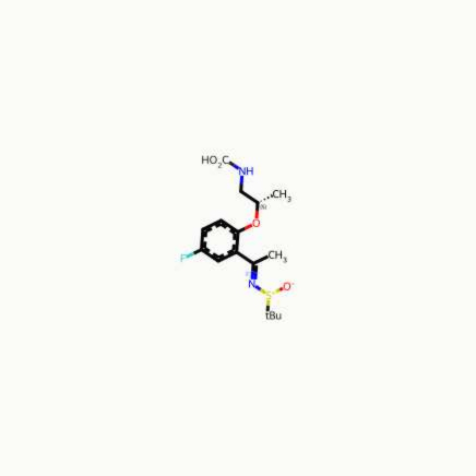 C/C(=N\[S+]([O-])C(C)(C)C)c1cc(F)ccc1O[C@@H](C)CNC(=O)O